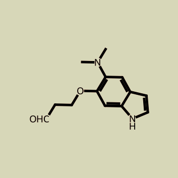 CN(C)c1cc2cc[nH]c2cc1OCCC=O